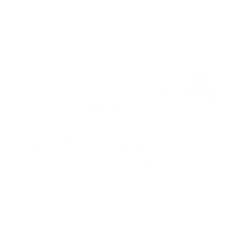 C=CC(=O)Oc1cc(-c2ccc(OC(=O)C(=C)C)cc2)c(C)cc1-c1ccc(OC(=O)C(=C)C)cc1